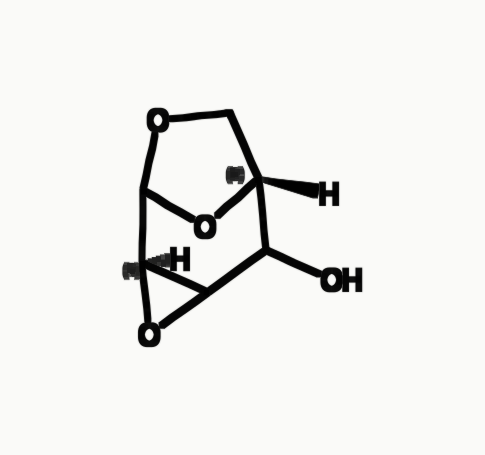 OC1C2O[C@H]2C2OC[C@H]1O2